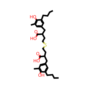 CCCCc1cc(CC(CCSCCC(Cc2cc(C)c(O)c(CCCC)c2)C(=O)O)C(=O)O)cc(C)c1O